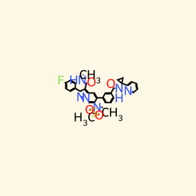 CCN(c1cn2nc(-c3ccc(F)cc3)c(C(=O)NC)c2cc1-c1cccc(C(=O)NC2(c3ccccn3)CC2)c1)S(C)(=O)=O